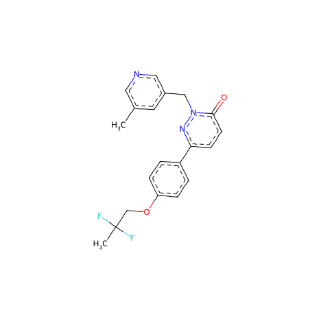 Cc1cncc(Cn2nc(-c3ccc(OCC(C)(F)F)cc3)ccc2=O)c1